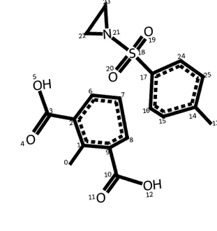 Cc1c(C(=O)O)cccc1C(=O)O.Cc1ccc(S(=O)(=O)N2CC2)cc1